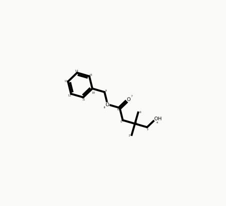 CC(C)(CO)CC(=O)OCc1ccccc1